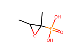 CC1OC1(C)P(=O)(O)O